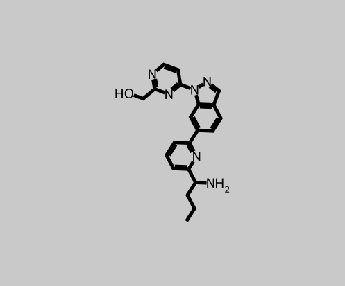 CCCC(N)c1cccc(-c2ccc3cnn(-c4ccnc(CO)n4)c3c2)n1